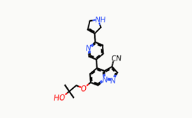 CC(C)(O)COc1cc(-c2ccc(C3=CCNC3)nc2)c2c(C#N)cnn2c1